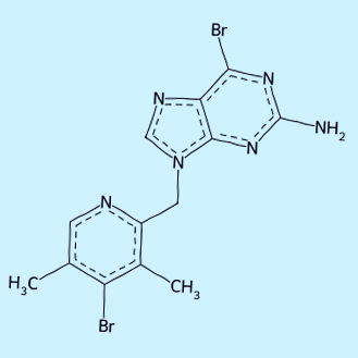 Cc1cnc(Cn2cnc3c(Br)nc(N)nc32)c(C)c1Br